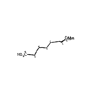 COCCCCCC(=O)O